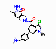 Cc1cc(C)n(N)c(=O)c1CNC(=O)c1cc(-c2ccc(CN(C)C)cc2)cc2c1c(Cl)cn2C(C)C